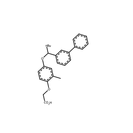 CCCCC(Oc1ccc(OCC(=O)O)c(C)c1)c1cccc(-c2ccccc2)c1